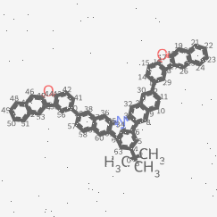 CC(C)(C)c1cc2c3cc4ccc(-c5ccc6oc7cc8ccccc8cc7c6c5)cc4cc3n3c4cc5cc(-c6ccc7oc8cc9ccccc9cc8c7c6)ccc5cc4c(c1)c23